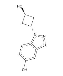 Oc1ccc2c(cnn2[C@H]2C[C@H](O)C2)c1